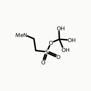 CNCCS(=O)(=O)OC(O)(O)O